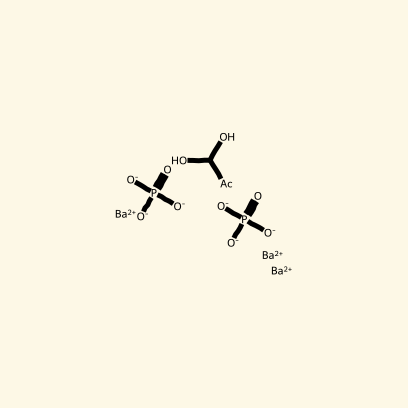 CC(=O)C(O)O.O=P([O-])([O-])[O-].O=P([O-])([O-])[O-].[Ba+2].[Ba+2].[Ba+2]